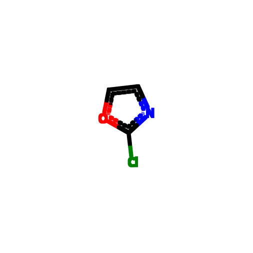 Clc1ncco1